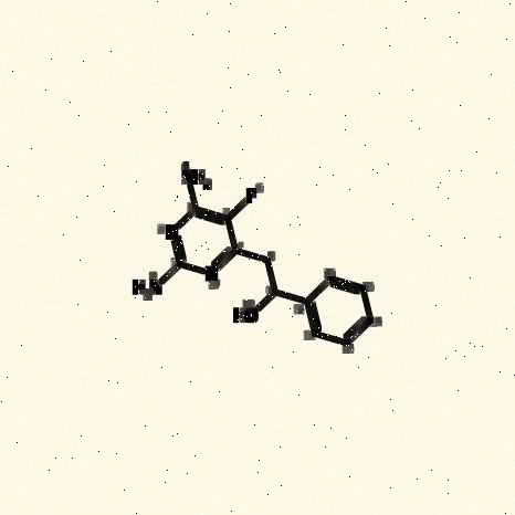 Nc1nc(N)c(F)c(CC(O)c2ccccc2)n1